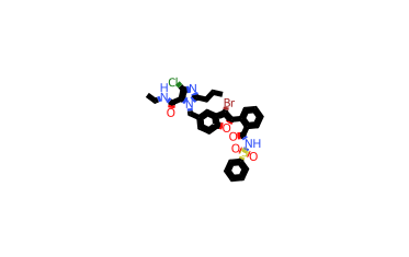 CCCc1nc(Cl)c(C(=O)NCC)n1Cc1ccc2oc(-c3ccccc3C(=O)NS(=O)(=O)c3ccccc3)c(Br)c2c1